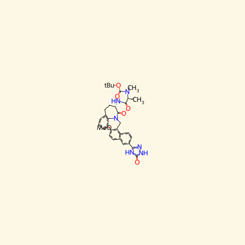 COc1ccc2cc(-c3n[nH]c(=O)[nH]3)ccc2c1CN1C(=O)[C@@H](NC(=O)[C@H](C)N(C)C(=O)OC(C)(C)C)CCc2ccccc21